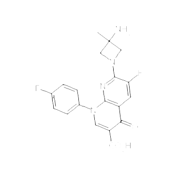 CC1(N)CN(c2nc3c(cc2F)c(=O)c(C(=O)O)cn3-c2ccc(F)cc2)C1